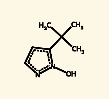 CC(C)(C)c1ccnn1O